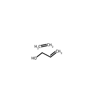 C=C.C=CCO